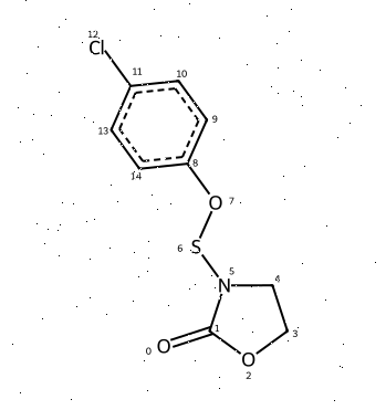 O=C1OCCN1SOc1ccc(Cl)cc1